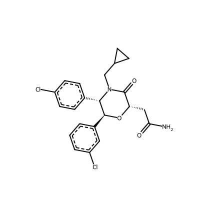 NC(=O)C[C@@H]1O[C@@H](c2cccc(Cl)c2)[C@H](c2ccc(Cl)cc2)N(CC2CC2)C1=O